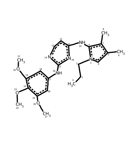 CCCn1cc(C)c(C)c1Nc1ccnc(Nc2cc(OC)c(OC)c(OC)c2)n1